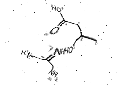 CC(O)CC(=O)O.N=C(N)N